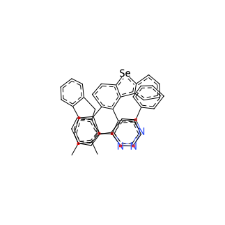 Cc1cc2c(c(-c3nnnc(-c4ccccc4)c3-c3c(-c4ccccc4-c4ccccc4)ccc4[se]c5ccccc5c34)c1C)Cc1ccccc1-2